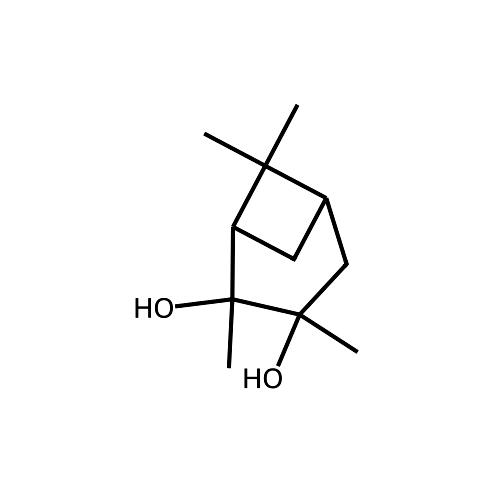 CC1(C)C2CC1C(C)(O)C(C)(O)C2